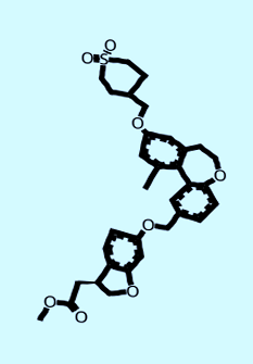 COC(=O)C[C@@H]1COc2cc(OCc3ccc4c(c3)-c3c(C)cc(OCC5CCS(=O)(=O)CC5)cc3CCO4)ccc21